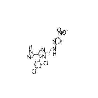 O=[N+]([O-])c1ccc(NC[CH]c2ncc(-c3cnc[nH]3)c(-c3ccc(Cl)cc3Cl)n2)nc1